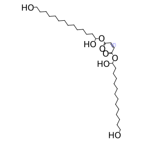 O=C(/C=C\C(=O)OC(O)CCCCCCCCCCCCCO)OC(O)CCCCCCCCCCCCCO